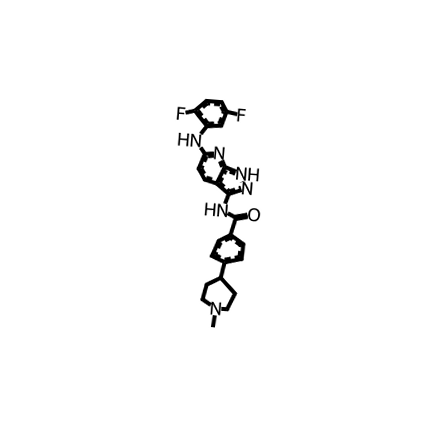 CN1CCC(c2ccc(C(=O)Nc3n[nH]c4nc(Nc5cc(F)ccc5F)ccc34)cc2)CC1